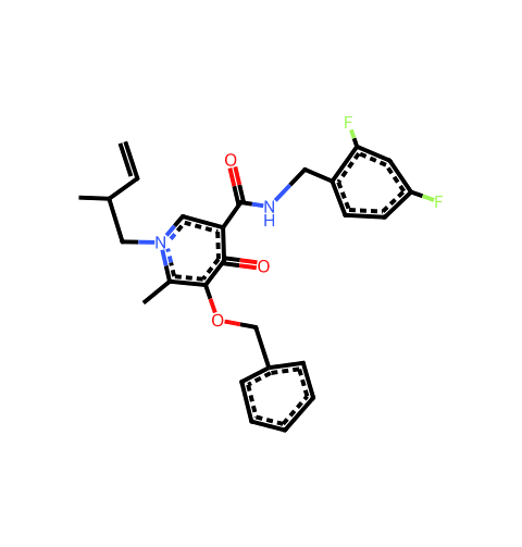 C=CC(C)Cn1cc(C(=O)NCc2ccc(F)cc2F)c(=O)c(OCc2ccccc2)c1C